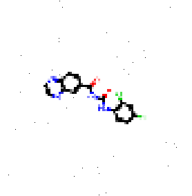 O=C(NC(=O)c1ccc2nccnc2c1)Nc1ccc(Cl)cc1Cl